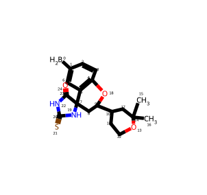 Bc1ccc2c(c1)C1(CC(C3CCOC(C)(C)C3)O2)NC(=S)NC1=O